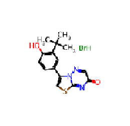 Br.CC(C)(C)c1cc(-c2csc3nc(=O)cnn23)ccc1O